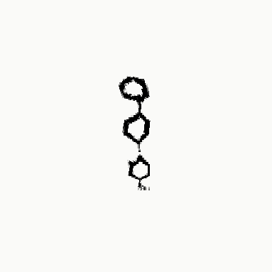 CCCC[C@H]1CC[C@H](C2C=CC(c3ccccc3)=CC2)CC1